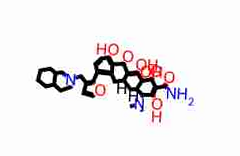 CN(C)[C@@H]1C(O)=C(C(N)=O)C(=O)[C@@]2(O)C(O)=C3C(=O)c4c(O)ccc(-c5occc5CN5CCC6CCCCC6C5)c4C[C@H]3C[C@@H]12